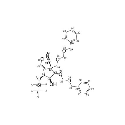 CC(C)(C)[Si](C)(C)O[C@H]1/C(=C/Cl)[C@](C#N)(COCOCc2ccccc2)[C@@H](OCOCc2ccccc2)[C@H]1O